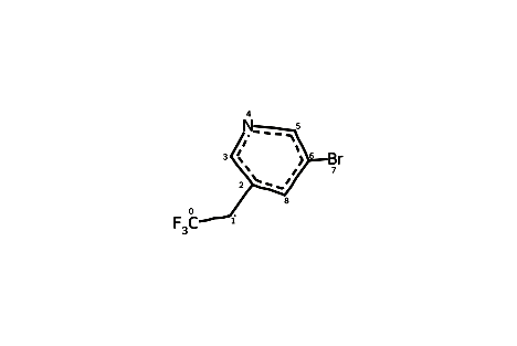 FC(F)(F)[CH]c1cncc(Br)c1